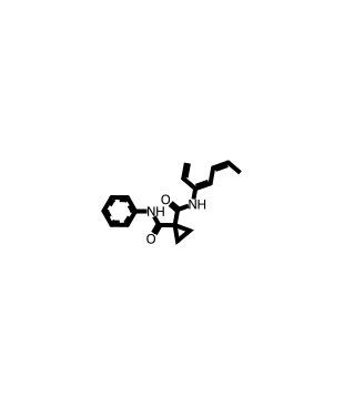 C=C/C(=C\C=C/C)NC(=O)C1(C(=O)Nc2ccccc2)CC1